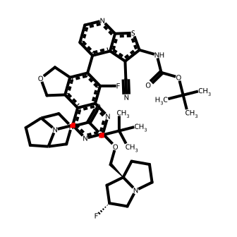 CC(C)(C)OC(=O)Nc1sc2nccc(-c3c4c(c5c(N6C7CCC6CN(C(=O)OC(C)(C)C)C7)nc(OC[C@@]67CCCN6C[C@H](F)C7)nc5c3F)COC4)c2c1C#N